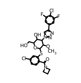 COC1C(Sc2cc(Cl)ccc2C(=O)N2CCC2)OC(CO)C(O)C1n1cc(-c2cc(F)c(Cl)c(F)c2)nn1